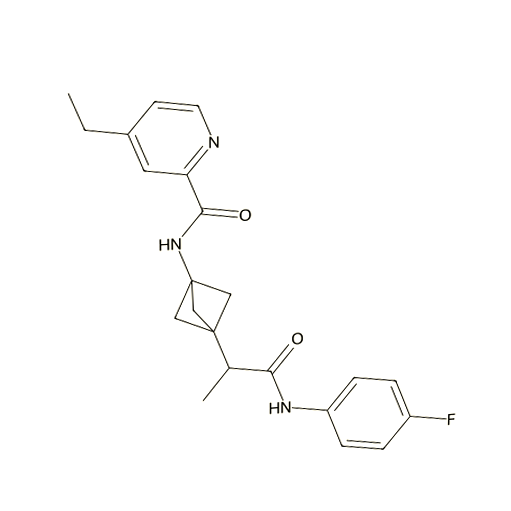 CCc1ccnc(C(=O)NC23CC(C(C)C(=O)Nc4ccc(F)cc4)(C2)C3)c1